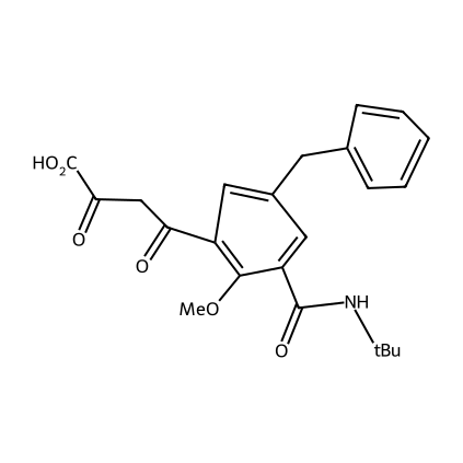 COc1c(C(=O)CC(=O)C(=O)O)cc(Cc2ccccc2)cc1C(=O)NC(C)(C)C